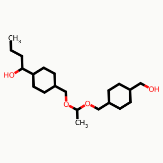 CCCC(O)C1CCC(COC(C)OCC2CCC(CO)CC2)CC1